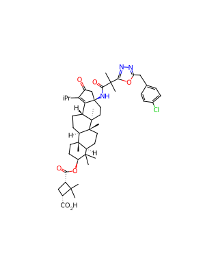 CC(C)C1=C2[C@H]3CC[C@@H]4[C@@]5(C)CC[C@H](OC(=O)[C@H]6C[C@@H](C(=O)O)C6(C)C)C(C)(C)[C@@H]5CC[C@@]4(C)[C@]3(C)CC[C@@]2(NC(=O)C(C)(C)c2nnc(Cc3ccc(Cl)cc3)o2)CC1=O